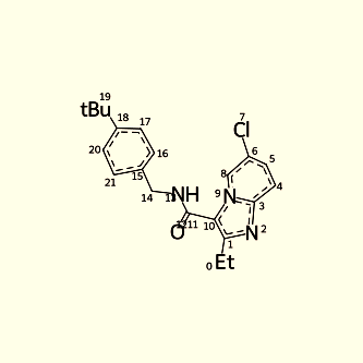 CCc1nc2ccc(Cl)cn2c1C(=O)NCc1ccc(C(C)(C)C)cc1